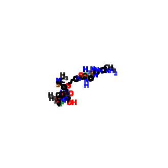 Cc1ncsc1-c1ccc(CNC(=O)[C@@H]2C[C@@H](O)CN2C(=O)[C@@H](NC(=O)C2(F)CC2)C(C)(C)C)c(OCCCC2CCN(C(=O)CC(=O)Nc3cccc(Sc4ncc(N5CCC(C)(N)CC5)nc4N)c3Cl)CC2)c1